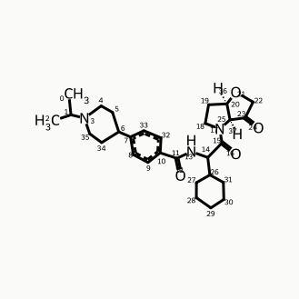 CC(C)N1CCC(c2ccc(C(=O)NC(C(=O)N3CC[C@H]4OCC(=O)[C@H]43)C3CCCCC3)cc2)CC1